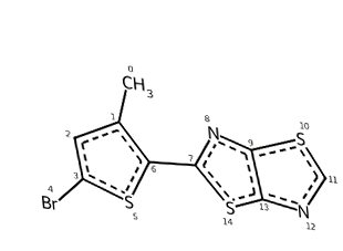 Cc1cc(Br)sc1-c1nc2scnc2s1